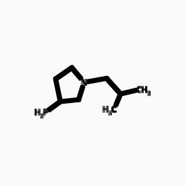 CC(C)CN1CCC(P)C1